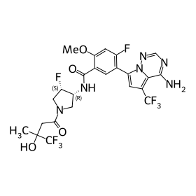 COc1cc(F)c(-c2cc(C(F)(F)F)c3c(N)ncnn23)cc1C(=O)N[C@@H]1CN(C(=O)CC(C)(O)C(F)(F)F)C[C@@H]1F